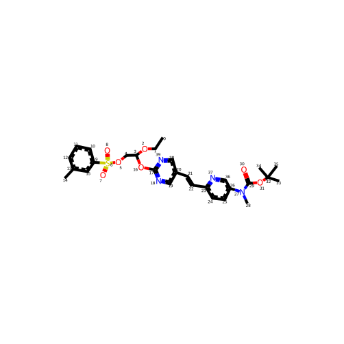 CCOC(COS(=O)(=O)c1cccc(C)c1)Oc1ncc(C=Cc2ccc(N(C)C(=O)OC(C)(C)C)cn2)cn1